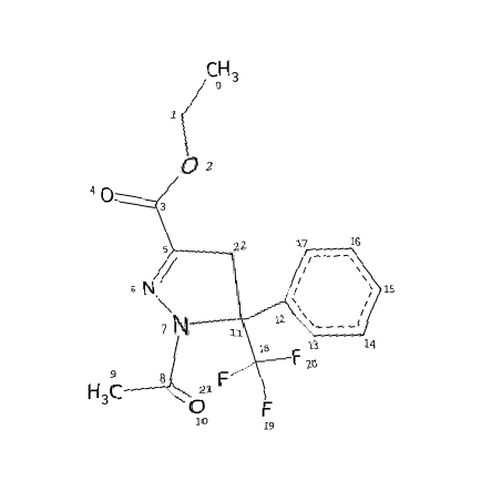 CCOC(=O)C1=NN(C(C)=O)C(c2ccccc2)(C(F)(F)F)C1